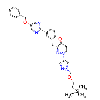 C[Si](C)(C)CCOCn1cc(-n2ccc(=O)c(Cc3cccc(-c4ncc(OCc5ccccc5)cn4)c3)n2)cn1